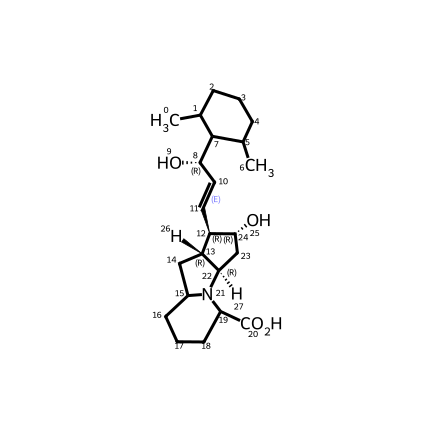 CC1CCCC(C)C1[C@@H](O)/C=C/[C@@H]1[C@H]2CC3CCCC(C(=O)O)N3[C@@H]2C[C@H]1O